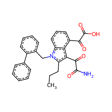 CCCc1c(C(=O)C(N)=O)c2c(C(=O)C(=O)O)cccc2n1Cc1ccccc1-c1ccccc1